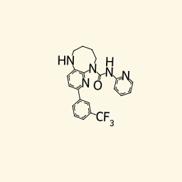 O=C(Nc1ccccn1)N1CCCCNc2ccc(-c3cccc(C(F)(F)F)c3)nc21